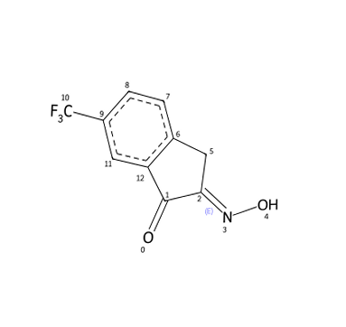 O=C1/C(=N/O)Cc2ccc(C(F)(F)F)cc21